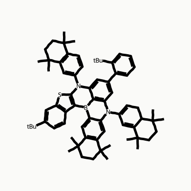 CC1(C)CCC(C)(C)C2CC=C(N3c4cc5c(cc4B4c6c3cc(-c3ccccc3C(C)(C)C)cc6N(c3ccc6c(c3)C(C)(C)CCC6(C)C)c3sc6cc(C(C)(C)C)ccc6c34)C(C)(C)CCC5(C)C)C=C21